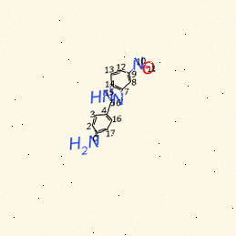 Nc1ccc(-c2nc3cc(N=O)ccc3[nH]2)cc1